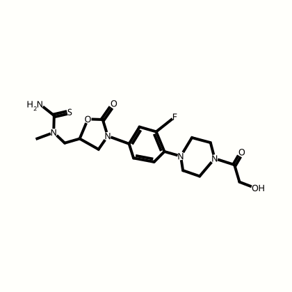 CN(CC1CN(c2ccc(N3CCN(C(=O)CO)CC3)c(F)c2)C(=O)O1)C(N)=S